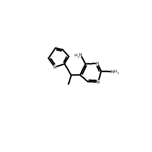 CC(c1ccccn1)c1cnc(N)nc1N